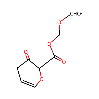 O=[C]OCOC(=O)C1OC=CCC1=O